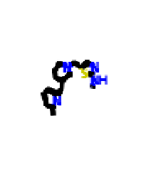 CNc1ncc(CN2CCCC(Cc3cccc(C)n3)C2)s1